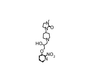 CN1CCN(C2CCN(CC(O)COc3cccnc3[N+](=O)[O-])CC2)C1=O